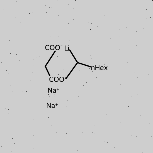 O=C([O-])CC(=O)[O-].[Li][CH](C)CCCCCC.[Na+].[Na+]